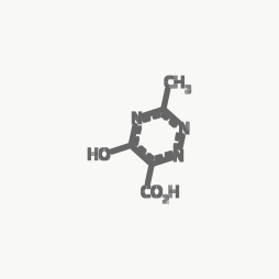 Cc1nnc(C(=O)O)c(O)n1